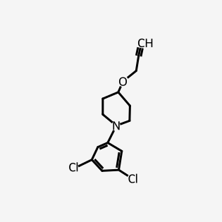 C#CCOC1CCN(c2cc(Cl)cc(Cl)c2)CC1